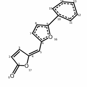 O=C1C=C/C(=C\c2ccc(-c3ccccc3)o2)O1